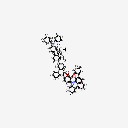 CC1(C)c2cc(-c3ccc4c(c3)c3ccccc3c3c5ccc(N(c6ccccc6-c6ccccc6)c6cccc7c6oc6ccccc67)cc5oc43)ccc2-c2ccc(N(c3ccccc3)c3ccccc3)cc21